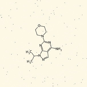 CC(C)n1ncc2c(N)nc(N3CCOCC3)nc21